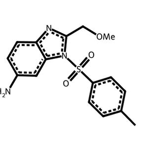 COCc1nc2ccc(N)cc2n1S(=O)(=O)c1ccc(C)cc1